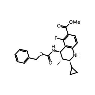 COC(=O)c1ccc2c(c1F)[C@H](NC(=O)OCc1ccccc1)[C@@H](C)[C@H](C1CC1)N2